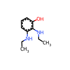 CCNc1cccc(O)c1NCC